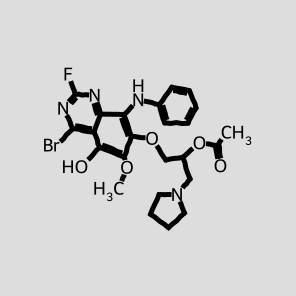 COc1c(OCC(CN2CCCC2)OC(C)=O)c(Nc2ccccc2)c2nc(F)nc(Br)c2c1O